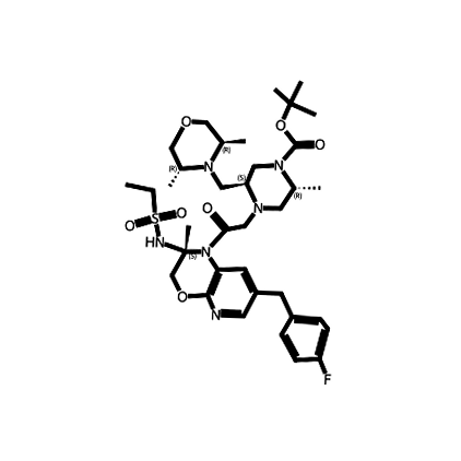 CCS(=O)(=O)N[C@@]1(C)COc2ncc(Cc3ccc(F)cc3)cc2N1C(=O)CN1C[C@@H](C)N(C(=O)OC(C)(C)C)C[C@@H]1CN1[C@H](C)COC[C@H]1C